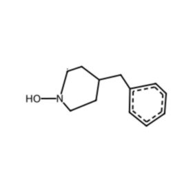 ON1[CH]CC(Cc2ccccc2)CC1